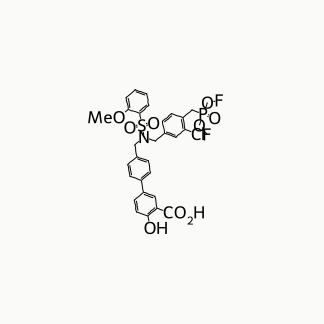 COc1ccccc1S(=O)(=O)N(Cc1ccc(-c2ccc(O)c(C(=O)O)c2)cc1)Cc1ccc(CP(=O)(OF)OF)c(Cl)c1